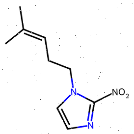 CC(C)=CCCn1ccnc1[N+](=O)[O-]